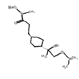 CON(C)C(=O)CC[C@H]1CC[C@H](C(C)(CO[SiH](C)C)C(C)(C)C)CC1